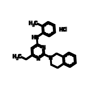 CCc1cc(Nc2ccccc2C)nc(N2CCc3ccccc3C2)n1.Cl